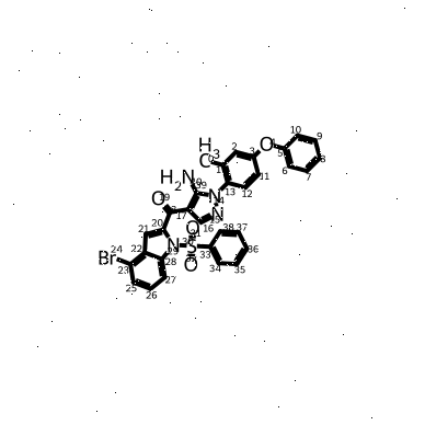 Cc1cc(Oc2ccccc2)ccc1-n1ncc(C(=O)c2cc3c(Br)cccc3n2S(=O)(=O)c2ccccc2)c1N